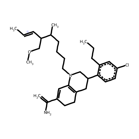 C=C(N)C1=CC2=C(CC1)CC(c1ccc(Cl)cc1CCC)CN2CCCCC(C)C(/C=C/C)COC